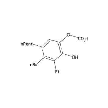 CCCCCc1cc(OC(=O)O)c(O)c(CC)c1CCCC